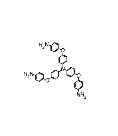 Nc1ccc(Oc2ccc(N(c3ccc(Oc4ccc(N)cc4)cc3)c3ccc(Oc4ccc(N)cc4)cc3)cc2)cc1